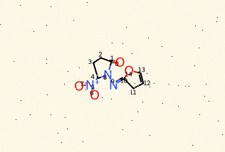 O=C1CCC([N+](=O)[O-])N1N=C1CC=CO1